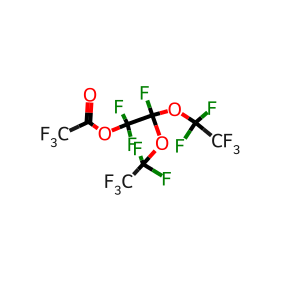 O=C(OC(F)(F)C(F)(OC(F)(F)C(F)(F)F)OC(F)(F)C(F)(F)F)C(F)(F)F